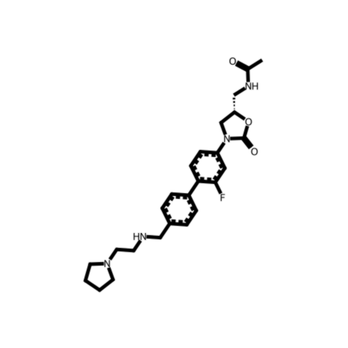 CC(=O)NC[C@H]1CN(c2ccc(-c3ccc(CNCCN4CCCC4)cc3)c(F)c2)C(=O)O1